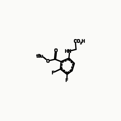 CC(C)(C)OC(=O)c1c(NCC(=O)O)ccc(F)c1F